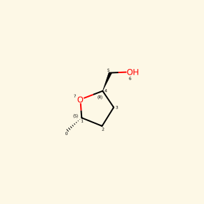 C[C@H]1CC[C@H](CO)O1